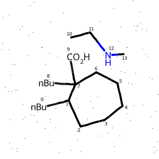 CCCCC1CCCCCC1(CCCC)C(=O)O.CCNC